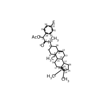 CC(=O)OC(C(=O)N(C)C1CCC2(C)C(=CCC3C2CCC24CN(C)C(C)C2CCC34)C1)c1ccc(F)cc1